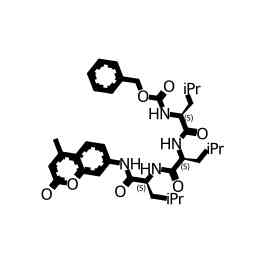 Cc1cc(=O)oc2cc(NC(=O)[C@H](CC(C)C)NC(=O)[C@H](CC(C)C)NC(=O)[C@H](CC(C)C)NC(=O)OCc3ccccc3)ccc12